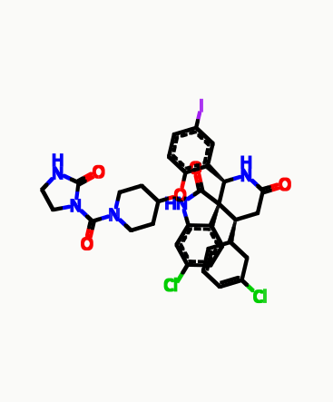 O=C1C[C@@H](C2C=CC=C(Cl)C2)[C@]2(C(=O)Nc3cc(Cl)ccc32)[C@@H](c2cc(I)ccc2OC2CCN(C(=O)N3CCNC3=O)CC2)N1